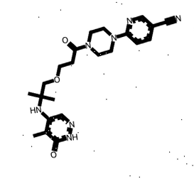 Cc1c(NC(C)(C)COCCC(=O)N2CCN(c3ccc(C#N)cn3)CC2)cn[nH]c1=O